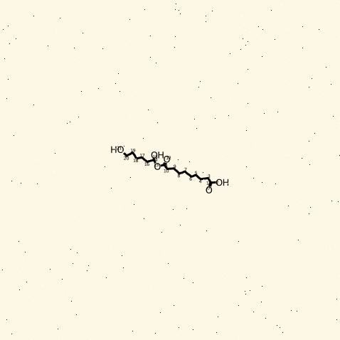 O=C(O)CCCCCCCCC(=O)OC(O)CCCCCO